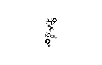 Cn1c(SCC(=O)Nc2sc3c(c2C(N)=O)CCC3)nnc1-c1ccc(O)cc1